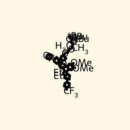 CCC1(CC)c2cc(-c3ccc(C(F)(F)F)cc3)ccc2-c2c1c1c(c3cc(OC)c(OC)cc23)OC(C2=CC=C(N3CCOCC3)CC2)(c2ccc(OCCOC(C)(C)CC[Si](OC(C)(C)C)(OC(C)(C)C)OC(C)(C)C)cc2)C=C1